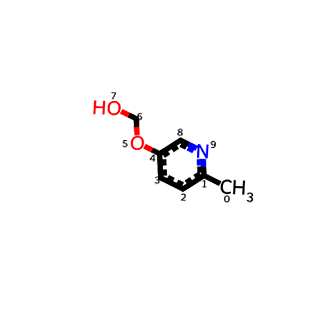 Cc1ccc(OCO)cn1